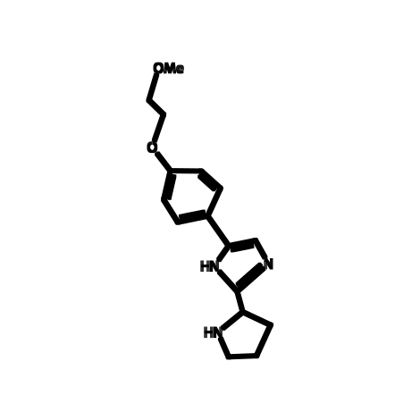 COCCOc1ccc(-c2cnc(C3CCCN3)[nH]2)cc1